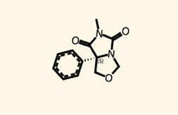 CN1C(=O)N2COC[C@@]2(c2ccccc2)C1=O